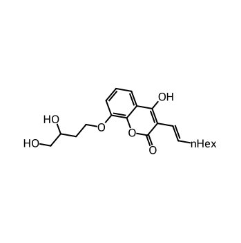 CCCCCCC=Cc1c(O)c2cccc(OCCC(O)CO)c2oc1=O